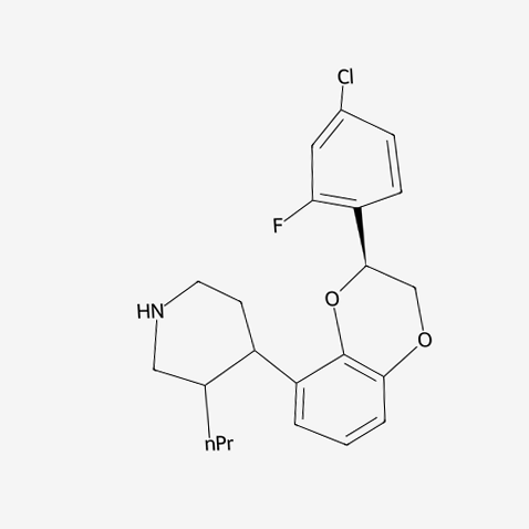 CCCC1CNCCC1c1cccc2c1O[C@@H](c1ccc(Cl)cc1F)CO2